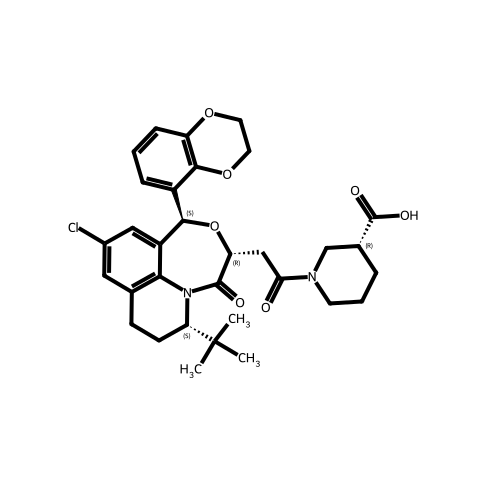 CC(C)(C)[C@@H]1CCc2cc(Cl)cc3c2N1C(=O)[C@@H](CC(=O)N1CCC[C@@H](C(=O)O)C1)O[C@@H]3c1cccc2c1OCCO2